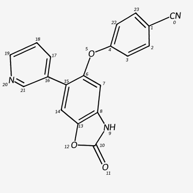 N#Cc1ccc(Oc2cc3[nH]c(=O)oc3cc2-c2cccnc2)cc1